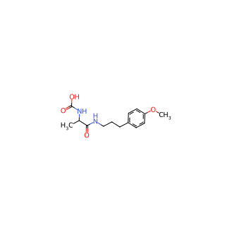 COc1ccc(CCCNC(=O)C(C)NC(=O)O)cc1